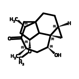 CO[C@@H]1CCC23CC[C@H]4C[C@@]4(C12)[C@H](O)C[C@H](C)C(=O)[C@@H]3C